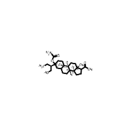 CCC(CO)C1(OC(N)=O)CC[C@@]2(C)C(CC[C@@H]3[C@@H]2CC[C@]2(C)C(C(=O)O)CC[C@@H]32)C1